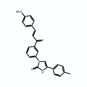 COc1ccc(/C=C/C(=O)c2cccc(-n3cc(-c4ccc(F)cc4)[nH]c3=O)c2)cc1